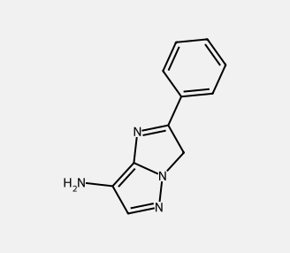 Nc1cnn2c1N=C(c1ccccc1)C2